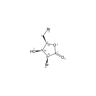 O=C1O[C@H](CBr)[C@H](O)[C@@H]1Br